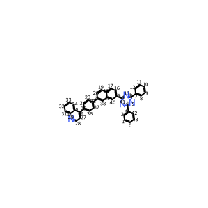 c1ccc(-c2nc(-c3ccccc3)nc(-c3ccc4ccc(-c5ccc(-c6ccnc7ccccc67)cc5)cc4c3)n2)cc1